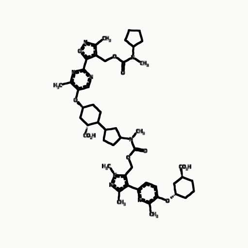 Cc1nc(-c2c(C)nn(C)c2COC(=O)N(C)C2CCC(C3CC[C@H](Oc4cnc(-c5onc(C)c5COC(=O)N(C)C5CCCC5)nc4C)C[C@H]3C(=O)O)C2)ccc1O[C@H]1CCC[C@H](C(=O)O)C1